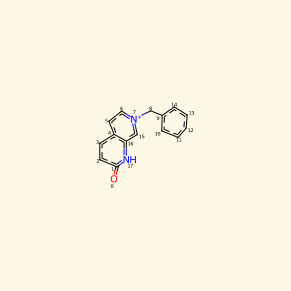 O=c1ccc2cc[n+](Cc3ccccc3)cc2[nH]1